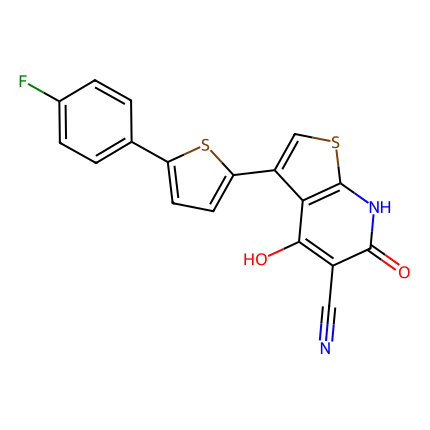 N#Cc1c(O)c2c(-c3ccc(-c4ccc(F)cc4)s3)csc2[nH]c1=O